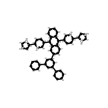 c1ccc(-c2cc(-c3ccccc3)cc(-c3ccc4c(-c5ccc(-c6cnco6)nc5)c5ccccc5c(-c5ccc(-c6cnco6)nc5)c4c3)c2)cc1